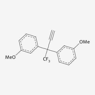 C#CC(c1cccc(OC)c1)(c1cccc(OC)c1)C(F)(F)F